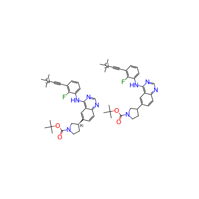 CC(C)(C)OC(=O)N1CCC(c2ccc3ncnc(Nc4cccc(C#C[Si](C)(C)C)c4F)c3c2)C1.CC(C)(C)OC(=O)N1CC[C@H](c2ccc3ncnc(Nc4cccc(C#C[Si](C)(C)C)c4F)c3c2)C1